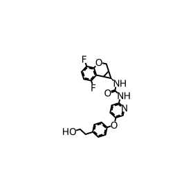 O=C(Nc1ccc(Oc2ccc(CCO)cc2)cn1)N[C@@H]1C2COc3c(F)ccc(F)c3C21